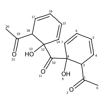 CC(=O)C1C=CC=CC1(O)C(=O)C1(O)C=CC=CC1C(C)=O